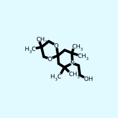 CC1(C)COC2(CC(C)(C)N(CCO)C(C)(C)C2)OC1